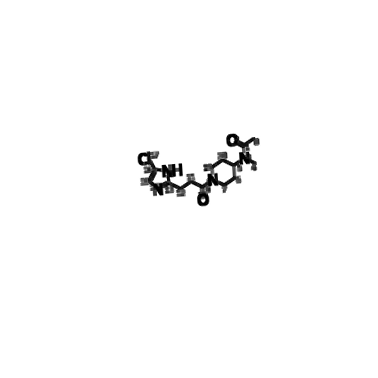 CC(=O)N(C)C1CCN(C(=O)CCc2ncc(Cl)[nH]2)CC1